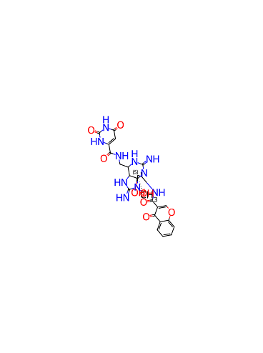 C[C@]1(O)C(NC(=O)c2coc3ccccc3c2=O)CN2C(=N)NC(CNC(=O)c3cc(=O)[nH]c(=O)[nH]3)C3NC(=N)N(O)C321